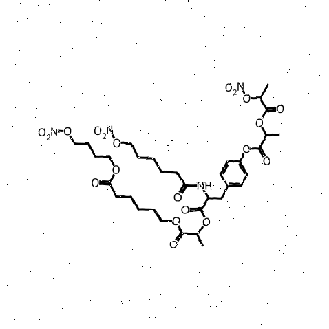 CC(OC(=O)C(Cc1ccc(OC(=O)C(C)OC(=O)C(C)O[N+](=O)[O-])cc1)NC(=O)CCCCCO[N+](=O)[O-])C(=O)OCCCCCC(=O)OCCCCO[N+](=O)[O-]